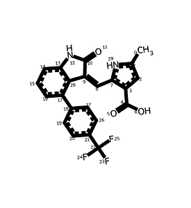 Cc1cc(C(=O)O)c(C=C2C(=O)Nc3cccc(-c4ccc(C(F)(F)F)cc4)c32)[nH]1